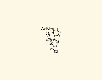 CC(=O)Nc1cccc2c1C(=O)C(C)=C(SCCO)C2=O